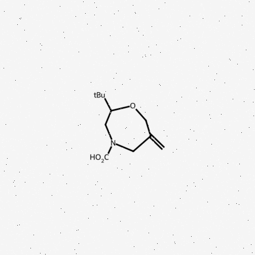 C=C1COC(C(C)(C)C)CN(C(=O)O)C1